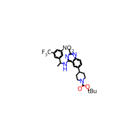 Cc1nc(NC(C)c2cc([N+](=O)[O-])cc(C(F)(F)F)c2)c2cc(C3CCN(C(=O)OC(C)(C)C)CC3)ccc2n1